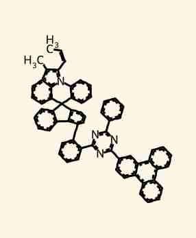 C/C=C\c1c(C)c2cccc3c2n1-c1ccccc1C31c2ccccc2-c2c(-c3ccccc3-c3nc(-c4ccccc4)nc(-c4ccc5c6ccccc6c6ccccc6c5c4)n3)cccc21